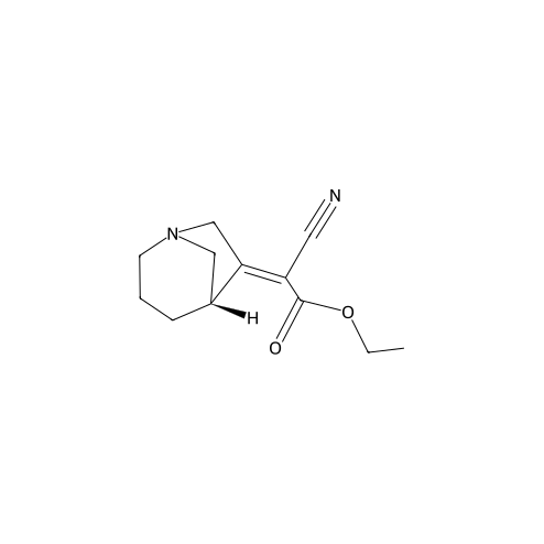 CCOC(=O)C(C#N)=C1CN2CCC[C@@H]1C2